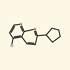 Clc1ccnc2nc(C3CCCC3)ccc12